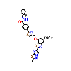 CCC1(CNC(=O)c2ccc(-c3nc(COc4cc(OC)cc5nc(-c6cn7nc(C)sc7n6)sc45)cs3)cc2)CCCC1